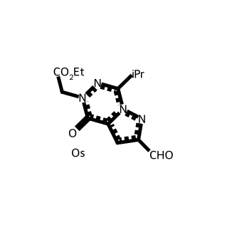 CCOC(=O)Cn1nc(C(C)C)n2nc(C=O)cc2c1=O.[Os]